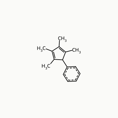 CC1=C(C)C(c2ccccc2)C(C)=C1C